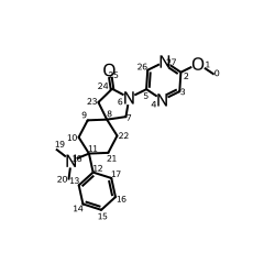 COc1cnc(N2CC3(CCC(c4ccccc4)(N(C)C)CC3)CC2=O)cn1